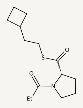 CCC(=O)N1CCC[C@H]1C(=O)SCCC1CCC1